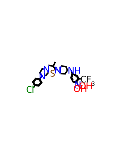 CC(CN1CCN(c2ccc(Cl)cc2)CC1)C(=S)N1CCC(Nc2ccc(N(O)O)c(C(F)(F)F)c2)CC1